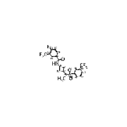 C[C@H](C1CC(NC(=O)c2ccc(F)c(C(F)(F)F)c2)C1)S(=O)(=O)c1cccc(C(F)(F)F)c1